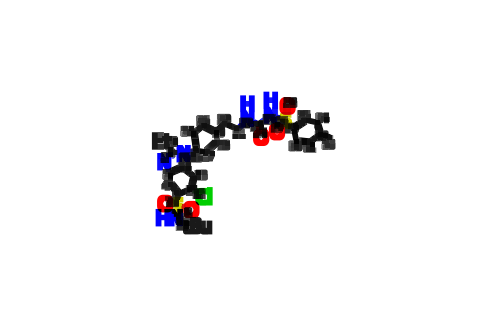 CCc1nc2cc(S(=O)(=O)NC(C)(C)C)c(Cl)cc2n1-c1ccc(CCNC(=O)NS(=O)(=O)c2ccc(C)cc2)cc1